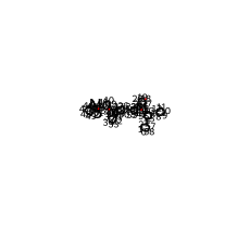 c1ccc(-c2cc(-c3ccccc3)cc(-n3c4ccccc4c4cc(-c5ccc6c(c5)c5ccccc5n6-c5cccc(-c6nc7ccccc7s6)c5)ccc43)c2)cc1